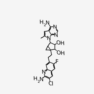 Cc1cc2c(N)ncnc2n1C1C(O)C(O)C2(CCc3cc4nc(N)c(Cl)cc4cc3F)CC12